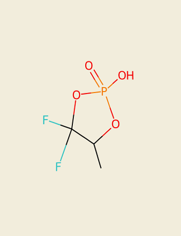 CC1OP(=O)(O)OC1(F)F